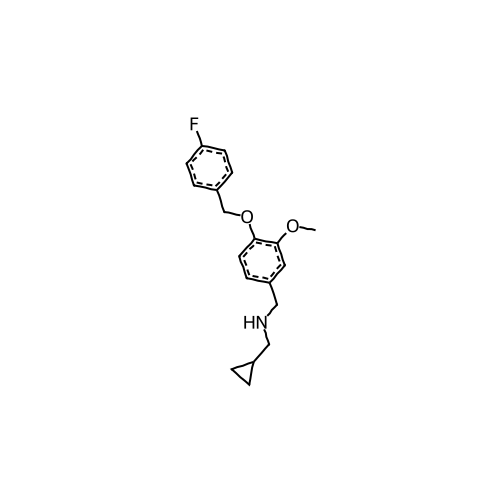 COc1cc(CNCC2CC2)ccc1OCc1ccc(F)cc1